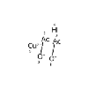 CC(=O)[O-].CC(=O)[O-].I.[Cu+2]